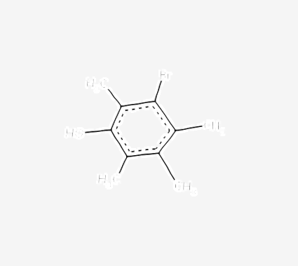 Cc1c(C)c(O)c(C)c(Br)c1C